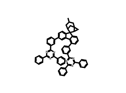 CC1CC2CC3(C1)CC3C21c2ccc(-c3cccc(-c4nc(-c5ccccc5)nc(-c5ccccc5)n4)c3)cc2-c2c(-c3cccc(-c4nc(-c5ccccc5)nc(-c5ccccc5)n4)c3)cccc21